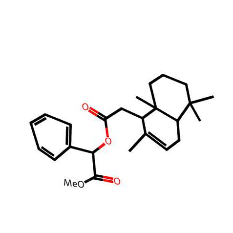 COC(=O)C(OC(=O)CC1C(C)=CCC2C(C)(C)CCCC12C)c1ccccc1